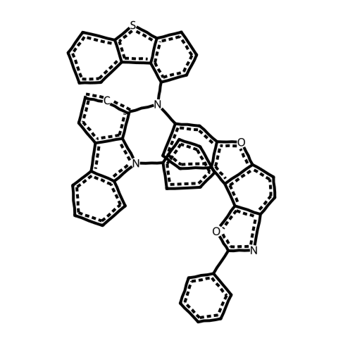 c1ccc(-c2nc3ccc4oc5cc(N(c6cccc7sc8ccccc8c67)c6cccc7c8ccccc8n(-c8ccccc8)c67)ccc5c4c3o2)cc1